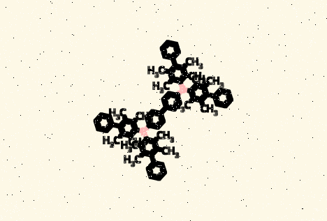 Cc1c(C)c(-c2ccccc2)c(C)c(C)c1B(c1ccc(-c2ccc(B(c3c(C)c(C)c(-c4ccccc4)c(C)c3C)c3c(C)c(C)c(-c4ccccc4)c(C)c3C)cc2)cc1)c1c(C)c(C)c(-c2ccccc2)c(C)c1C